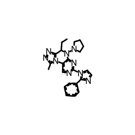 CCC1c2nnc(C)n2-c2cnc(-n3ccnc3-c3ccccc3)nc2N1N1CCCC1